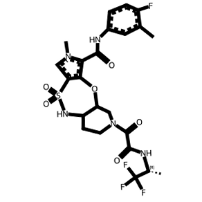 Cc1cc(NC(=O)c2c3c(cn2C)S(=O)(=O)NC2CCN(C(=O)C(=O)N[C@H](C)C(F)(F)F)CC2O3)ccc1F